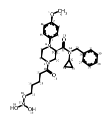 COc1ccc(N2CCN(C(=O)CCCCON(O)O)C[C@@H]2C(=O)N(Cc2ccccc2)C2CC2)cc1